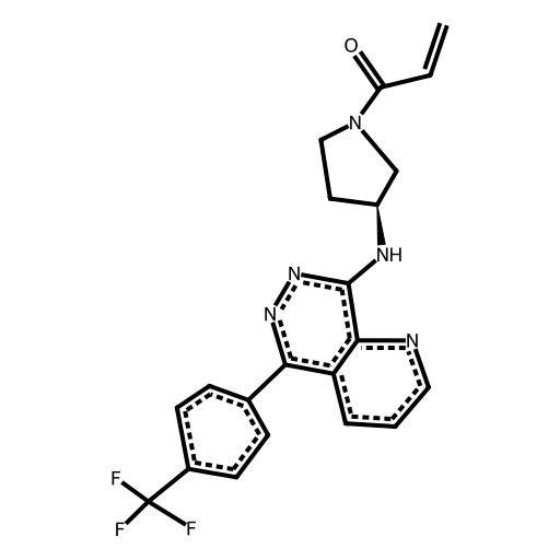 C=CC(=O)N1CC[C@H](Nc2nnc(-c3ccc(C(F)(F)F)cc3)c3cccnc23)C1